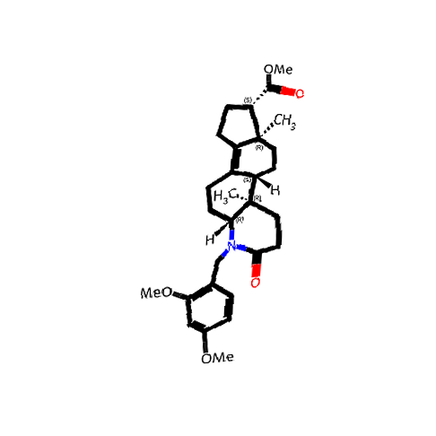 COC(=O)[C@H]1CCC2=C3CC[C@H]4N(Cc5ccc(OC)cc5OC)C(=O)CC[C@]4(C)[C@H]3CC[C@@]21C